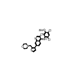 COc1cc(Nc2c(C#N)cnc3cc(-c4ccsc4CN4CCOCC4)ccc23)c(Cl)cc1Cl